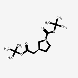 CC(C)(C)OC(=O)C[C@@H]1CCN(C(=O)OC(C)(C)C)C1